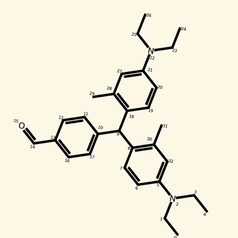 CCN(CC)c1ccc(C(c2ccc(C=O)cc2)c2ccc(N(CC)CC)cc2C)c(C)c1